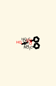 CC(C)(CO)CO.O=C(O)C(=O)c1ccccc1.O=C(O)c1ccccc1